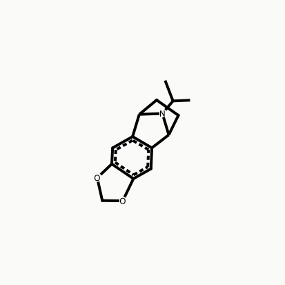 CC(C)N1C2CCC1c1cc3c(cc12)OCO3